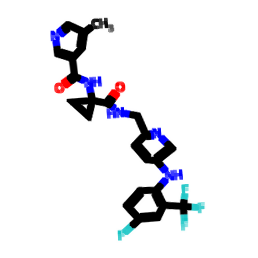 Cc1cncc(C(=O)NC2(C(=O)NCc3ccc(Nc4ccc(F)cc4C(F)(F)F)cn3)CC2)c1